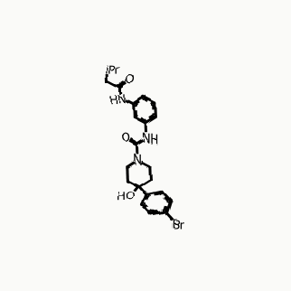 CC(C)CC(=O)Nc1cccc(NC(=O)N2CCC(O)(c3ccc(Br)cc3)CC2)c1